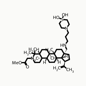 C=C(C)[C@@H]1CC[C@]2(CNCCCN3CCS(O)(O)CC3)CC[C@]3(C)[C@H](CC[C@@H]4[C@@]5(C)CCN(CC(=O)OC)C(C)(C)[C@@H]5CC[C@]43C)[C@@H]12